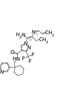 C=C/C=N\C(CC)=C(/N)n1cc(C(=O)NCC2(c3cccnc3)CCCCC2)c(C(F)(F)F)n1